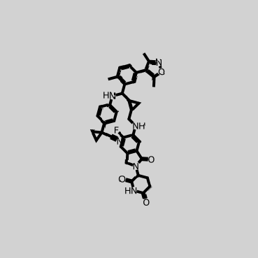 Cc1ccc(-c2c(C)noc2C)cc1C(Nc1ccc(C2(C#N)CC2)cc1)C1CC1CNc1cc2c(cc1F)CN(C1CCC(=O)NC1=O)C2=O